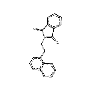 O=C1c2ccccc2C(=O)N1CCc1cccc2ccccc12